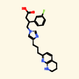 O=C(O)CC(Cn1cnc(CCCc2ccc3c(n2)NCCC3)c1)c1cccc(F)c1